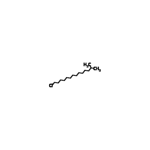 CC(C)CCCCCCCCCCCCCl